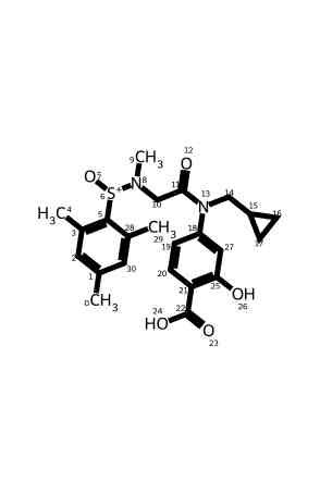 Cc1cc(C)c([S+]([O-])N(C)CC(=O)N(CC2CC2)c2ccc(C(=O)O)c(O)c2)c(C)c1